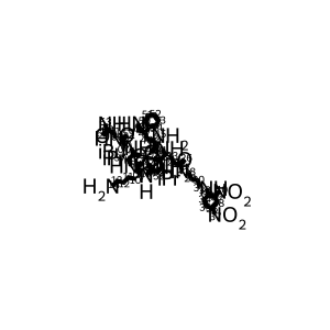 CCC(C)[C@H](NC(=O)[C@@H](NC(=O)[C@H](CCCCN)NC(=O)[C@@H](NC(=O)[C@H](CCC(=O)NCCCCNc1ccc([N+](=O)[O-])cc1[N+](=O)[O-])NC(=O)[C@@H](N)CC1CNc2ccccc21)C(C)C)C(C)C)C(=O)NCC(N)=O